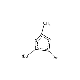 CC(=O)c1cc(C)sc1C(C)(C)C